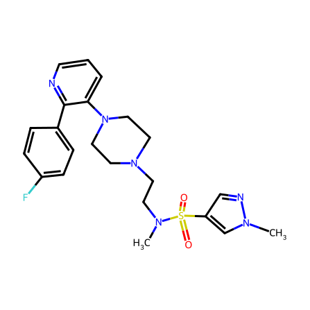 CN(CCN1CCN(c2cccnc2-c2ccc(F)cc2)CC1)S(=O)(=O)c1cnn(C)c1